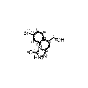 O=c1[nH]nc2cc(CO)c3ccc(Br)cc3n12